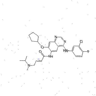 CC(C)N(C)C/C=C/C(=O)Nc1cc2c(Nc3ccc(F)c(Cl)c3)ncnc2cc1OC1CCCC1